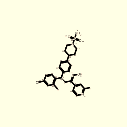 Cc1cc(C(C[C@H](c2ccc(C3CCN(S(N)(=O)=O)CC3)cc2)c2ccc(Cl)cc2C)=NO)ccn1